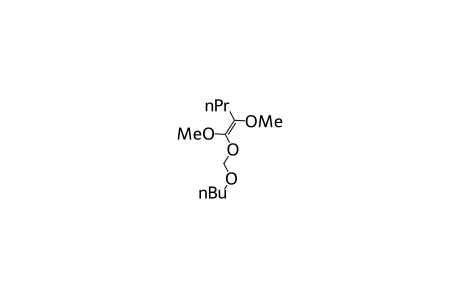 CCCCOCO/C(OC)=C(/CCC)OC